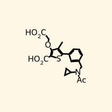 CC(=O)N(Cc1cccc(-c2sc(C(=O)O)c(OCC(=O)O)c2C)c1)C1CC1